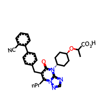 CCCc1c(Cc2ccc(-c3ccccc3C#N)cc2)c(=O)n([C@H]2CC[C@H](OC(C)C(=O)O)CC2)c2ncnn12